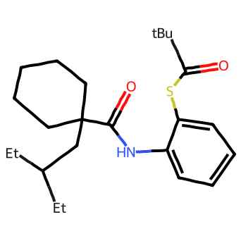 CCC(CC)CC1(C(=O)Nc2ccccc2SC(=O)C(C)(C)C)CCCCC1